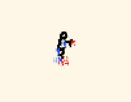 O=C(NO)c1cnc2c(c1)CN(CC1COC1)C(Cc1ccccc1)C2